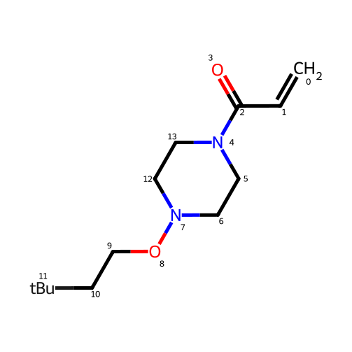 C=CC(=O)N1CCN(OCCC(C)(C)C)CC1